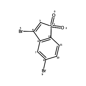 O=S1(=O)C=C(Br)c2cc(Br)ccc21